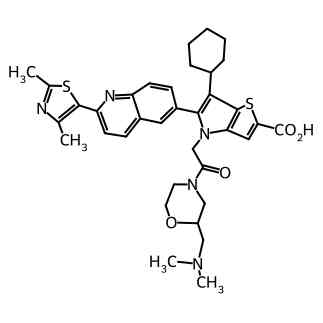 Cc1nc(C)c(-c2ccc3cc(-c4c(C5CCCCC5)c5sc(C(=O)O)cc5n4CC(=O)N4CCOC(CN(C)C)C4)ccc3n2)s1